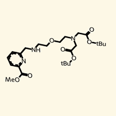 COC(=O)c1cccc(CNCCOCCN(CC(=O)OC(C)(C)C)CC(=O)OC(C)(C)C)n1